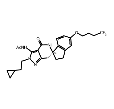 CC(=O)Nc1c2c(nn1CCC1CC1)C[C@]1(CCc3cc(OCCCC(F)(F)F)ccc31)NC2=O